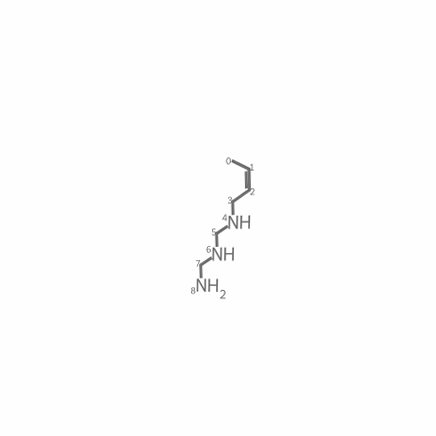 C/C=C\CNCNCN